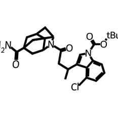 CC(CC(=O)N1C2CC3CC1CC(C(N)=O)(C3)C2)c1cn(C(=O)OC(C)(C)C)c2cccc(Cl)c12